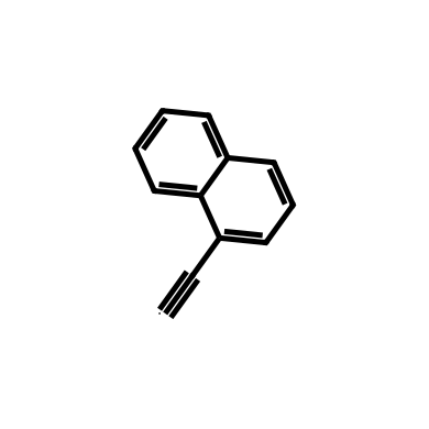 [C]#Cc1cccc2ccccc12